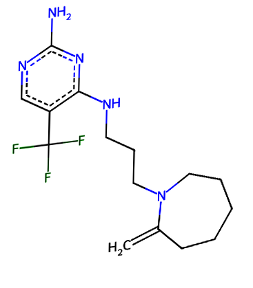 C=C1CCCCCN1CCCNc1nc(N)ncc1C(F)(F)F